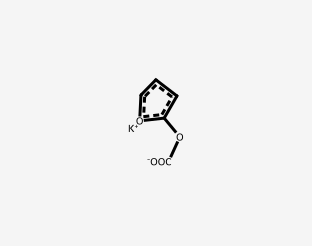 O=C([O-])Oc1ccco1.[K+]